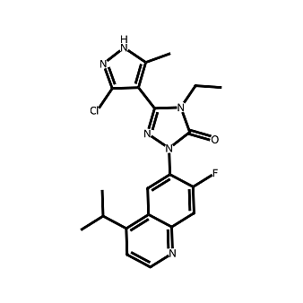 CCn1c(-c2c(Cl)n[nH]c2C)nn(-c2cc3c(C(C)C)ccnc3cc2F)c1=O